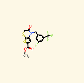 COC(=O)c1cc2c(s1)SCC(=O)N2Cc1cc(F)cc(C(F)(F)F)c1